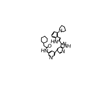 O=C(CC1CCCCC1)Nc1cncc(-c2cnc3[nH]nc(-c4cc5c(N6CCCCC6)cccc5[nH]4)c3c2)c1